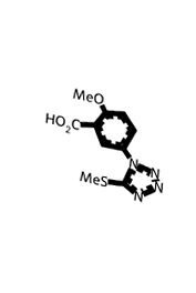 COc1ccc(-n2nnnc2SC)cc1C(=O)O